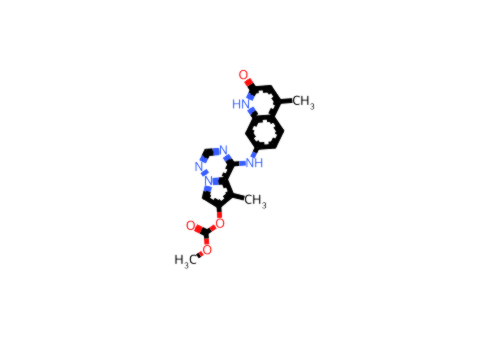 COC(=O)Oc1cn2ncnc(Nc3ccc4c(C)cc(=O)[nH]c4c3)c2c1C